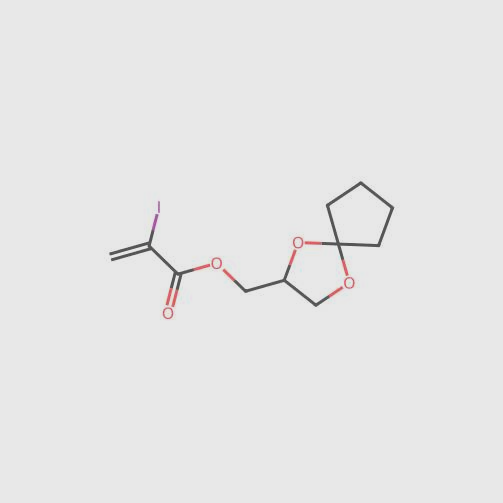 C=C(I)C(=O)OCC1COC2(CCCC2)O1